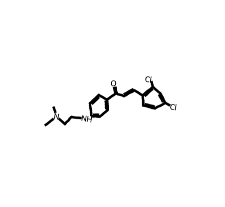 CN(C)CCNc1ccc(C(=O)C=Cc2ccc(Cl)cc2Cl)cc1